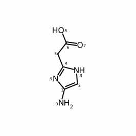 Nc1c[nH]c(CC(=O)O)n1